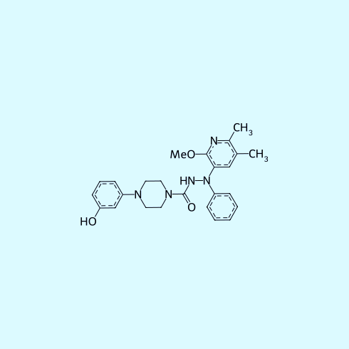 COc1nc(C)c(C)cc1N(NC(=O)N1CCN(c2cccc(O)c2)CC1)c1ccccc1